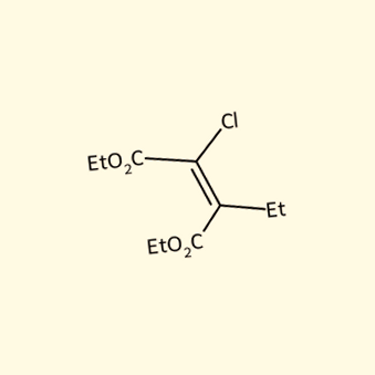 CCOC(=O)C(Cl)=C(CC)C(=O)OCC